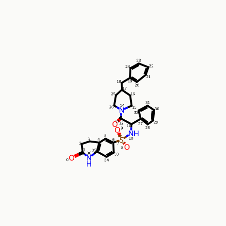 O=C1CCc2cc(S(=O)(=O)NC(C(=O)N3CCC(Cc4ccccc4)CC3)c3ccccc3)ccc2N1